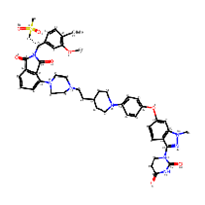 CCOc1cc([C@@H](CS(C)(=O)=O)N2C(=O)c3cccc(N4CCN(CCC5CCN(c6ccc(Oc7ccc8c(N9CCC(=O)NC9=O)nn(C)c8c7)cc6)CC5)CC4)c3C2=O)ccc1OC